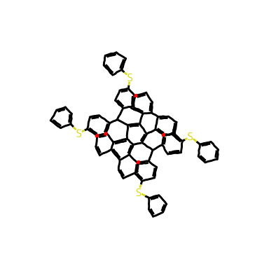 c1ccc(Sc2ccc(C(c3ccc(Sc4ccccc4)cc3)c3c4c5ccccc5c5ccccc5c4c(C(c4ccc(Sc5ccccc5)cc4)c4ccc(Sc5ccccc5)cc4)c4c5ccccc5c5ccccc5c34)cc2)cc1